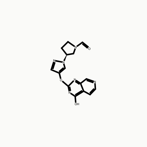 O=CN1CC[C@H](n2cc(Oc3nc(O)c4ccncc4n3)cn2)C1